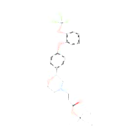 CC(C)(C)OC(=O)CCN1CCOC(c2ccc(Oc3ccccc3OC(F)(F)F)cc2)C1